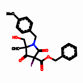 COc1ccc(CN2C(=O)C(I)(C(=O)OCc3ccccc3)C(=O)C2(C=O)CO)cc1